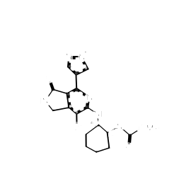 COC(=O)N[C@H]1CCCC[C@H]1Nc1nc(-c2cnn(C)c2)c2c(c1Br)CNC2=O